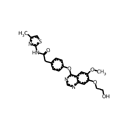 COc1cc2c(Oc3ccc(CC(=O)Nc4nc(C)cs4)cc3)ncnc2cc1OCCO